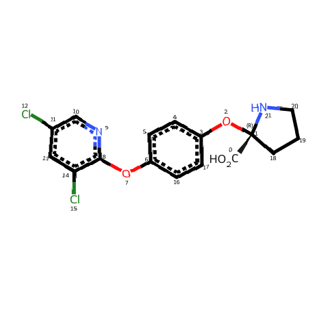 O=C(O)[C@]1(Oc2ccc(Oc3ncc(Cl)cc3Cl)cc2)CCCN1